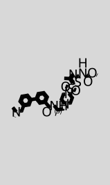 COC(=O)Nc1nc(C)c(S(=O)(=O)N2CCN(C[C@H](C)NC(=O)c3cccc(-c4cccc(CN(C)C)c4)c3)CC2)s1